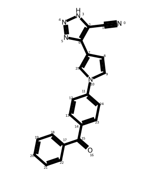 N#Cc1[nH]nnc1-c1ccn(-c2ccc(C(=O)c3ccccc3)cc2)c1